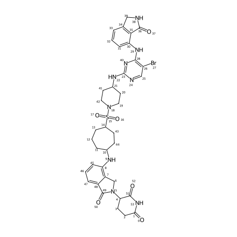 O=C1CCC(N2Cc3c(NC4CCCC(S(=O)(=O)N5CCC(Nc6ncc(Br)c(Nc7cccc8c7C(=O)NC8)n6)CC5)CC4)cccc3C2=O)C(=O)N1